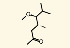 CO[C@@H](C(C)C)[C@H](C)CC(C)=O